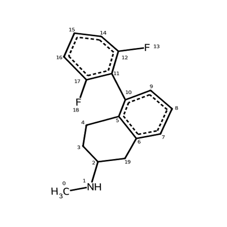 CNC1CCc2c(cccc2-c2c(F)cccc2F)C1